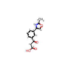 Cc1nc(-c2cccc(C(=O)CC(=O)O)c2)co1